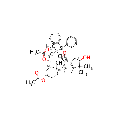 CC(=O)OC[C@H]1C[C@@H](OC(C)=O)CC[C@]1(C)[C@H]1CCC2=C(C[C@@H](O)C2(C)C)[C@@H]1CO[Si](c1ccccc1)(c1ccccc1)C(C)(C)C